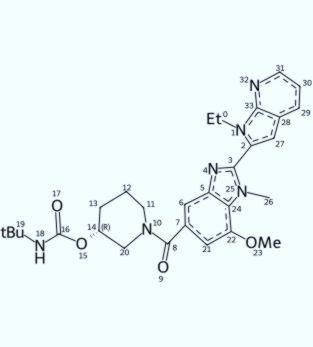 CCn1c(-c2nc3cc(C(=O)N4CCC[C@@H](OC(=O)NC(C)(C)C)C4)cc(OC)c3n2C)cc2cccnc21